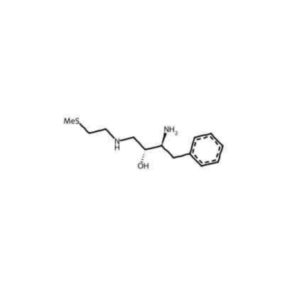 CSCCNC[C@@H](O)[C@@H](N)Cc1ccccc1